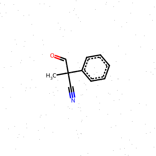 CC(C#N)(C=O)c1ccccc1